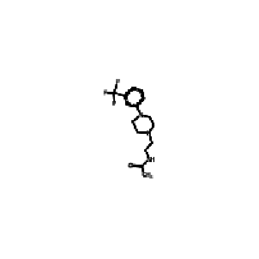 CC(=O)NCCN1CCN(c2cccc(C(F)(F)F)c2)CC1